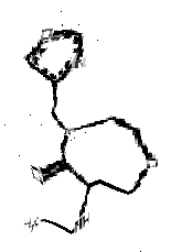 CNC1COCCN(Cc2cocn2)C1=O